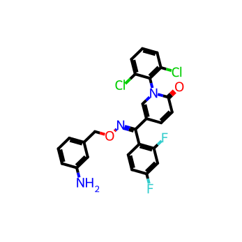 Nc1cccc(CON=C(c2ccc(=O)n(-c3c(Cl)cccc3Cl)c2)c2ccc(F)cc2F)c1